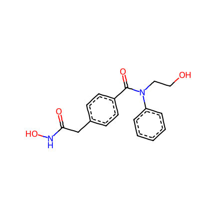 O=C(Cc1ccc(C(=O)N(CCO)c2ccccc2)cc1)NO